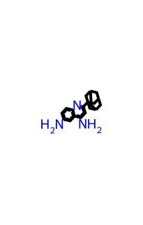 Nc1ccc2nc(C34CC5CC(CC(C5)C3)C4)cc(N)c2c1